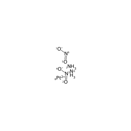 N.N.O=N[O-].O=N[O-].[Pt+2]